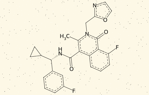 Cc1c(C(=O)N[C@H](c2cccc(F)c2)C2CC2)c2cccc(F)c2c(=O)n1Cc1ncco1